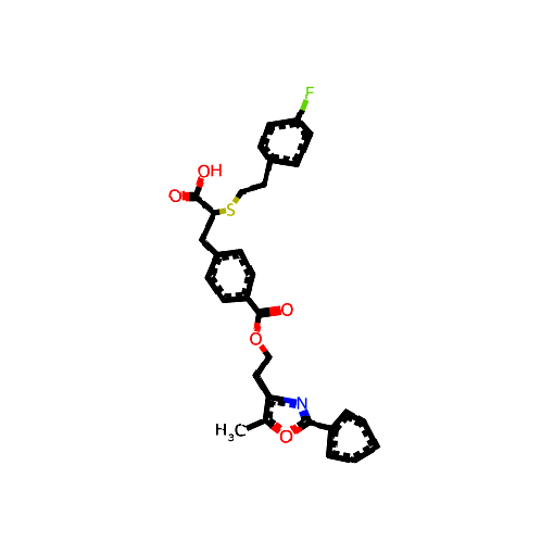 Cc1oc(-c2ccccc2)nc1CCOC(=O)c1ccc(CC(SCCc2ccc(F)cc2)C(=O)O)cc1